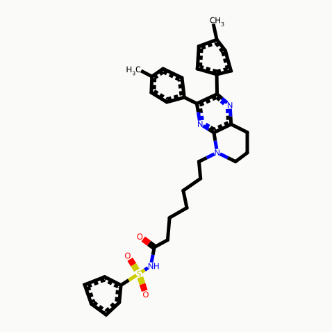 Cc1ccc(-c2nc3c(nc2-c2ccc(C)cc2)N(CCCCCCC(=O)NS(=O)(=O)c2ccccc2)CCC3)cc1